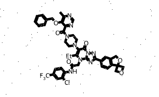 CCc1c(N2CCN(C(=O)c3ncnc(C)c3OCc3ccccc3)CC2)c(=O)n2nc(-c3ccc4c(c3)COC43COC3)nc2n1CC(=O)Nc1ccc(C(F)(F)F)cc1Cl